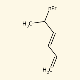 C=C/C=C/C(C)CCC